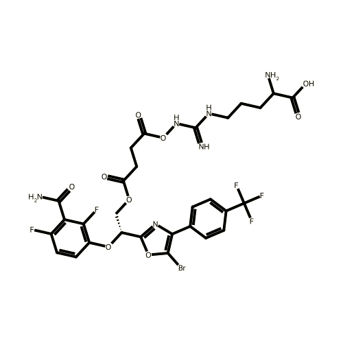 N=C(NCCCC(N)C(=O)O)NOC(=O)CCC(=O)OC[C@@H](Oc1ccc(F)c(C(N)=O)c1F)c1nc(-c2ccc(C(F)(F)F)cc2)c(Br)o1